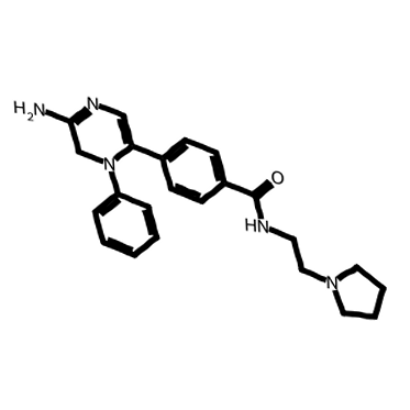 NC1=NC=C(c2ccc(C(=O)NCCN3CCCC3)cc2)N(c2ccccc2)C1